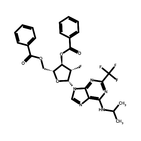 CC(C)Nc1nc(C(F)(F)F)nc2c1ncn2[C@@H]1O[C@H](COC(=O)c2ccccc2)[C@@H](OC(=O)c2ccccc2)[C@@H]1F